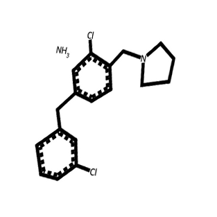 Clc1cccc(Cc2ccc(CN3CCCC3)c(Cl)c2)c1.N